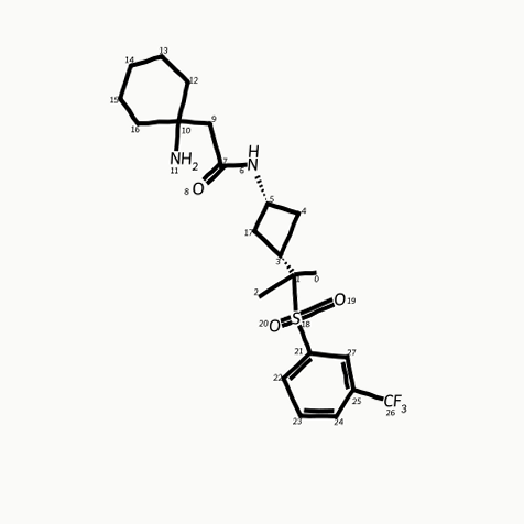 CC(C)([C@H]1C[C@@H](NC(=O)CC2(N)CCCCC2)C1)S(=O)(=O)c1cccc(C(F)(F)F)c1